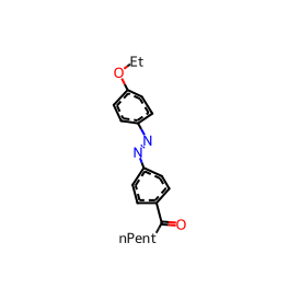 CCCCCC(=O)c1ccc(/N=N/c2ccc(OCC)cc2)cc1